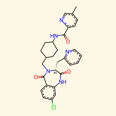 Cc1ccc(C(=O)NC2CCC(CN3C(=O)c4ccc(Cl)cc4NC(=O)[C@H]3Cc3ccccn3)CC2)nc1